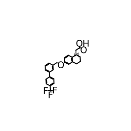 O=C(O)C[C@H]1CCCc2cc(OCc3cccc(-c4ccc(C(F)(F)F)cc4)c3)ccc21